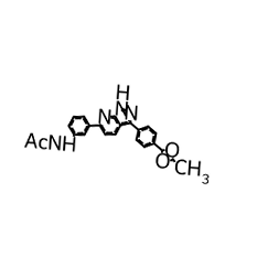 CC(=O)Nc1cccc(-c2ccc3c(-c4ccc(C5OC(C)O5)cc4)n[nH]c3n2)c1